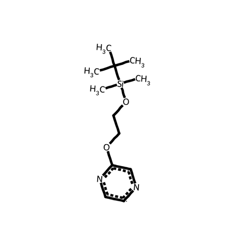 CC(C)(C)[Si](C)(C)OCCOc1cn[c]cn1